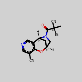 CC[C@](C)(C#N)C(=O)N1C[C@@H]2C[C@H]1c1cncc(C#N)c1O2